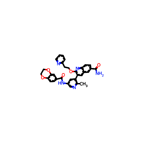 Cc1ncc(NC(=O)c2ccc3c(c2)OCCO3)cc1-c1cc2cc(C(N)=O)ccc2nc1OCCc1ccccn1